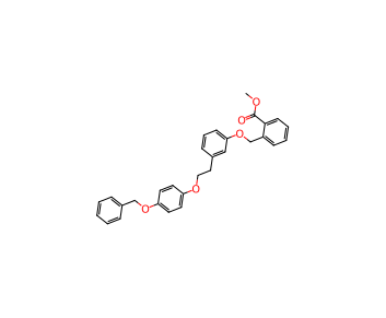 COC(=O)c1ccccc1COc1cccc(CCOc2ccc(OCc3ccccc3)cc2)c1